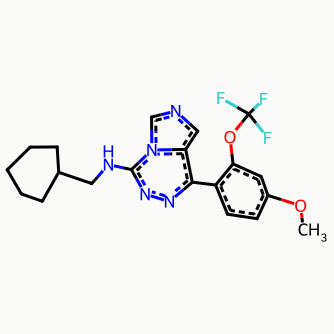 COc1ccc(-c2nnc(NCC3CCCCC3)n3cncc23)c(OC(F)(F)F)c1